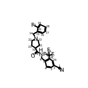 N#Cc1ccc(CNC(=O)C2CCN(Cc3ccccc3F)CC2)c(C(F)(F)F)c1